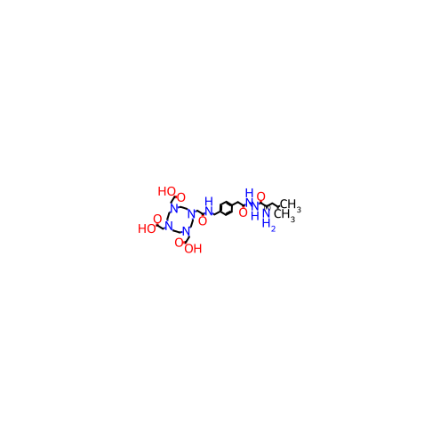 CC(C)C[C@@H](N)C(=O)NNC(=O)Cc1ccc(CNC(=O)CN2CCN(CC(=O)O)CCN(CC(=O)O)CCN(CC(=O)O)CC2)cc1